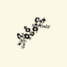 CC(C)(C)CC(=O)N1CCC[C@H]1c1nc2cc([C@H]3CC[C@H](c4cc5nc(C6CCCN6C(=O)OC(C)(C)C)n(COCC[Si](C)(C)C)c5cc4F)N3c3ccc(C(C)(C)C)cc3)c(F)cc2n1COCC[Si](C)(C)C